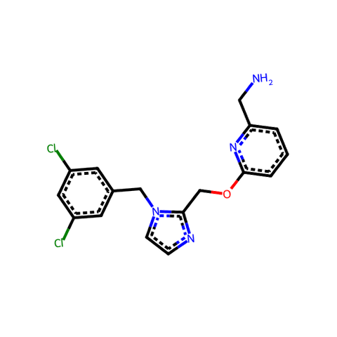 NCc1cccc(OCc2nccn2Cc2cc(Cl)cc(Cl)c2)n1